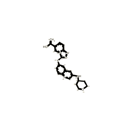 C=C(O)c1ccc2nnc(Sc3ccc4ncc(NC5CCOCC5)cc4c3)n2c1